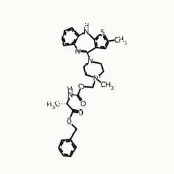 Cc1cc2c(s1)Nc1ccccc1N=C2N1CC[N+](C)(COC(=O)N[C@@H](C)C(=O)OCc2ccccc2)CC1